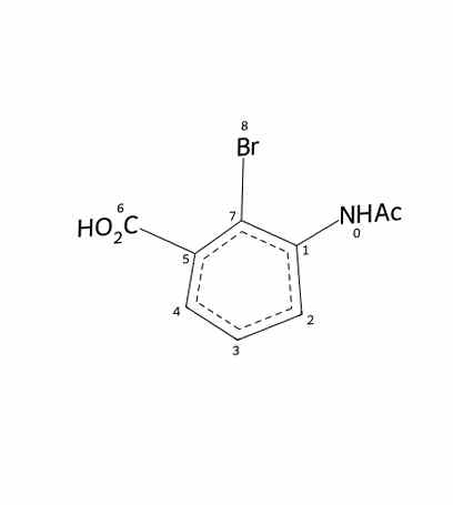 CC(=O)Nc1cccc(C(=O)O)c1Br